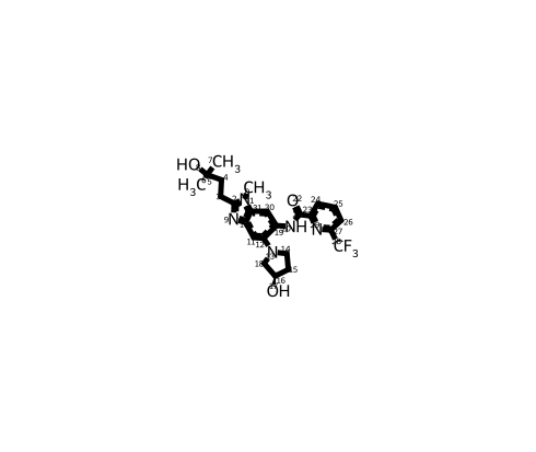 Cn1c(CCC(C)(C)O)nc2cc(N3CC[C@@H](O)C3)c(NC(=O)c3cccc(C(F)(F)F)n3)cc21